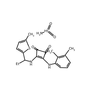 CCC(Nc1c(Nc2cccc(C)c2C)c(=O)c1=O)c1ccc(C)s1.N[SH](=O)=O